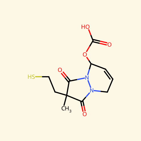 CC1(CCS)C(=O)N2CC=CC(OC(=O)O)N2C1=O